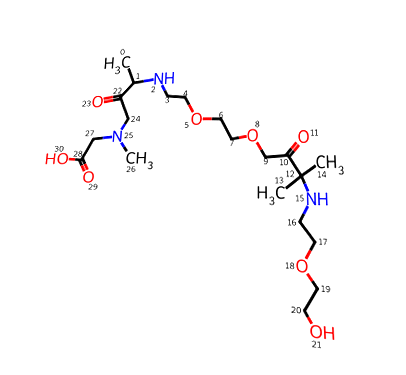 CC(NCCOCCOCC(=O)C(C)(C)NCCOCCO)C(=O)CN(C)CC(=O)O